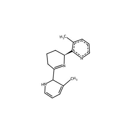 CC1=CC=CNC1C1=N[C@H](c2ncccc2C)CCC1